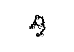 COC(=O)/C=C1\CC2CC(=O)OC(/C=C/C=C\CCCC(=O)N3CCCC3)C(C)/C=C/C(C)CC3CCCC(CC(C1)O2)O3